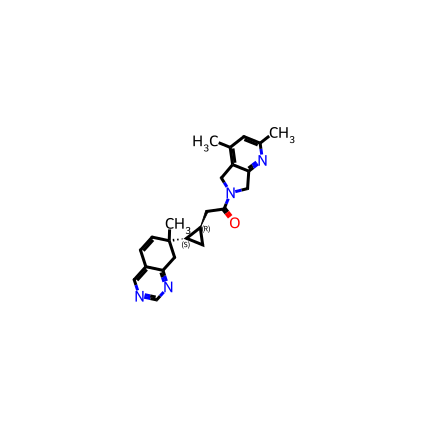 Cc1cc(C)c2c(n1)CN(C(=O)C[C@H]1C[C@@H]1C1(C)C=Cc3cncnc3C1)C2